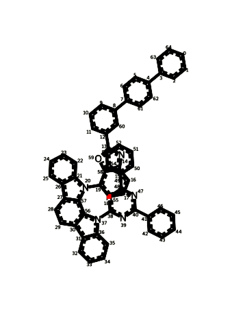 c1ccc(-c2ccc(-c3cccc(-c4nc5cccc(-n6c7ccccc7c7ccc8c9ccccc9n(-c9nc(-c%10ccccc%10)nc(-c%10ccccc%10)n9)c8c76)c5o4)c3)cc2)cc1